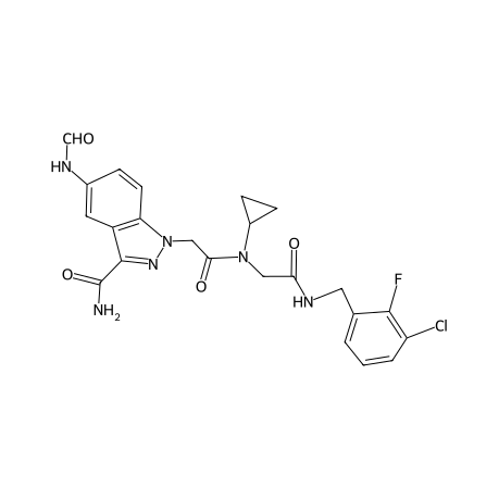 NC(=O)c1nn(CC(=O)N(CC(=O)NCc2cccc(Cl)c2F)C2CC2)c2ccc(NC=O)cc12